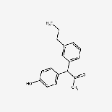 CCCc1cccc(C(C(C)=O)c2ccc(O)cc2)c1